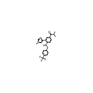 CC(C)C(=O)c1ccc(NCc2ccc(C(F)(F)F)cc2)c(-c2cn(C)cn2)c1